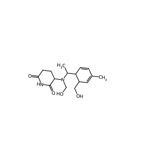 CC1=CC(CO)C(C(C)N(CO)C2CCC(=O)NC2=O)C=C1